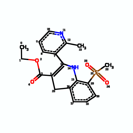 CCOC(=O)C1=C(c2cccnc2C)Nc2c(cccc2S(C)(=O)=O)C1